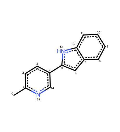 Cc1ccc(-c2cc3ccccc3[nH]2)cn1